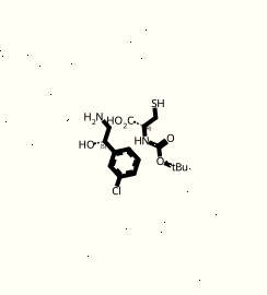 CC(C)(C)OC(=O)N[C@@H](CS)C(=O)O.NC[C@@H](O)c1cccc(Cl)c1